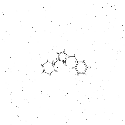 C1=CCN(c2ccn(Cc3ccccc3)n2)CC1